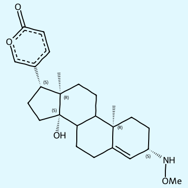 CON[C@@H]1C=C2CCC3C(CC[C@]4(C)[C@@H](c5ccc(=O)oc5)CC[C@]34O)[C@@]2(C)CC1